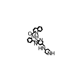 O=C(Nc1ccccc1-c1nc2cc(CNC3CCNCC3)cnc2s1)c1ccc2ccccc2n1